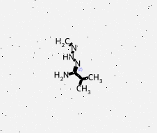 C=NN/N=C(\N)C(C)C